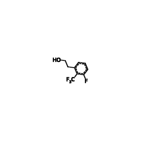 OCCc1cccc(F)c1C(F)(F)F